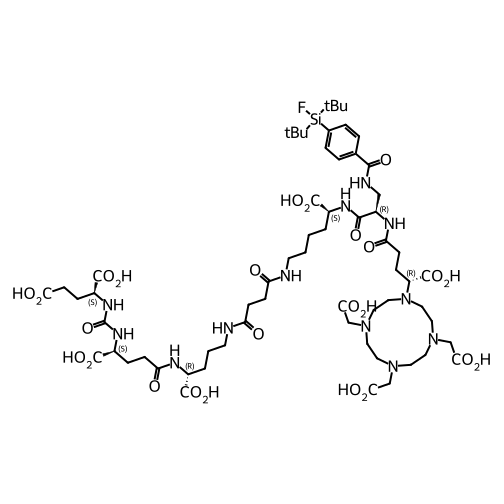 CC(C)(C)[Si](F)(c1ccc(C(=O)NC[C@@H](NC(=O)CC[C@H](C(=O)O)N2CCN(CC(=O)O)CCN(CC(=O)O)CCN(CC(=O)O)CC2)C(=O)N[C@@H](CCCCNC(=O)CCC(=O)NCCC[C@@H](NC(=O)CC[C@H](NC(=O)N[C@@H](CCC(=O)O)C(=O)O)C(=O)O)C(=O)O)C(=O)O)cc1)C(C)(C)C